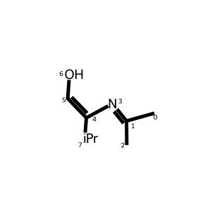 CC(C)=N/C(=C\O)C(C)C